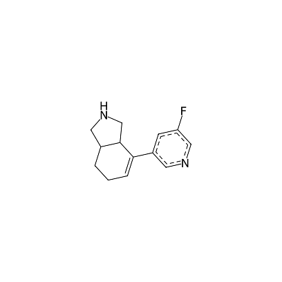 Fc1cncc(C2=CCCC3CNCC23)c1